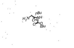 CCCC[C@](C)(CN)NC(=O)OC(C)(C)C